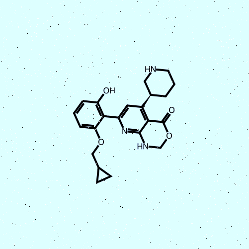 O=C1OCNc2nc(-c3c(O)cccc3OCC3CC3)cc([C@@H]3CCCNC3)c21